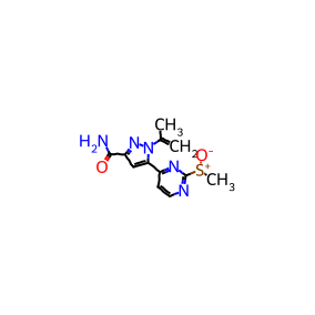 C=C(C)n1nc(C(N)=O)cc1-c1ccnc([S+](C)[O-])n1